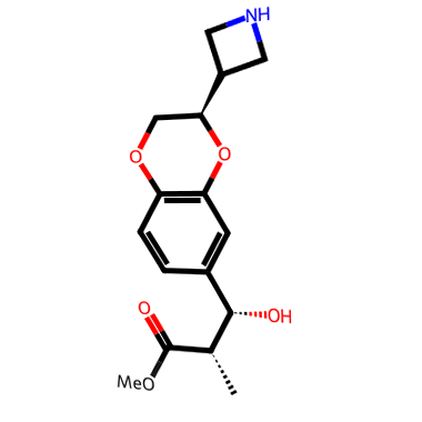 COC(=O)[C@@H](C)[C@@H](O)c1ccc2c(c1)O[C@H](C1CNC1)CO2